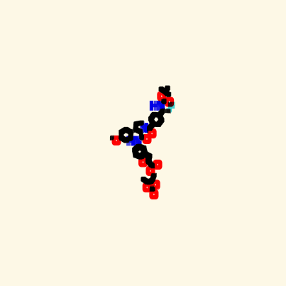 COC1CCC([C@@H]2CCN(C(=O)C3CCC([C@@H](CF)NC(=O)OC(C)(C)C)CC3)[C@H]2C(=O)Nc2ccc3oc(C(=O)OCc4oc(=O)oc4C)cc3c2)CC1